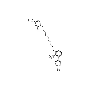 CCc1ccc(-c2cccc(CCCCCCCCCCc3ccc(C)cc3C)c2[N+](=O)[O-])cc1